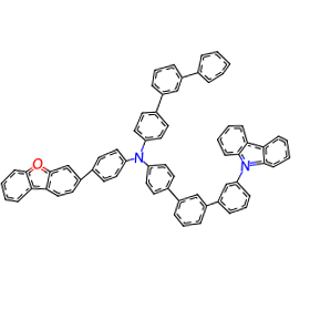 c1ccc(-c2cccc(-c3ccc(N(c4ccc(-c5cccc(-c6cccc(-n7c8ccccc8c8ccccc87)c6)c5)cc4)c4ccc(-c5ccc6c(c5)oc5ccccc56)cc4)cc3)c2)cc1